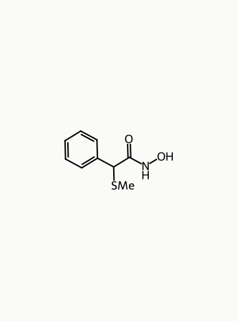 CSC(C(=O)NO)c1ccccc1